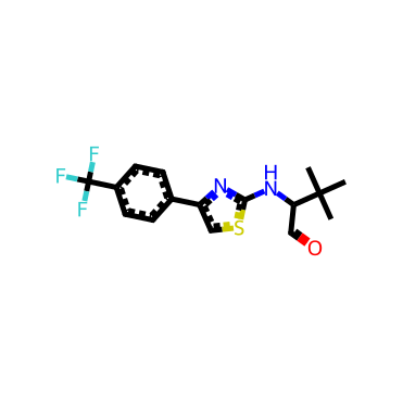 CC(C)(C)C(C=O)Nc1nc(-c2ccc(C(F)(F)F)cc2)cs1